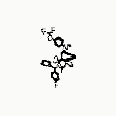 Cc1nc2ccc(N(C)c3ccc(OC(F)F)cc3)cc2c(=O)n1C(c1ccc(F)cc1)C1CCC1